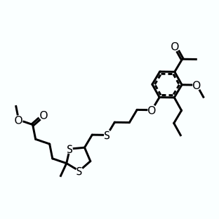 CCCc1c(OCCCSCC2CSC(C)(CCCC(=O)OC)S2)ccc(C(C)=O)c1OC